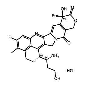 CC[C@@]1(O)C(=O)OCc2c1cc1n(c2=O)Cc2c-1nc1cc(F)c(C)c3c1c2[C@H]([C@H](N)CCO)CC3.Cl